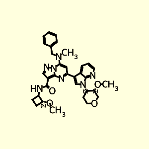 CO[C@H]1CCC1NC(=O)c1cnn2c(N(C)Cc3ccccc3)cc(-c3cn([C@H]4CCOC[C@H]4OC)c4ncccc34)nc12